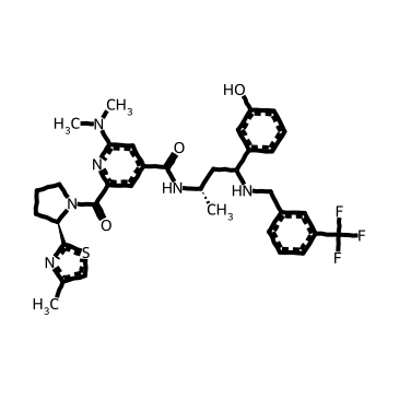 Cc1csc([C@H]2CCCN2C(=O)c2cc(C(=O)N[C@@H](C)CC(NCc3cccc(C(F)(F)F)c3)c3cccc(O)c3)cc(N(C)C)n2)n1